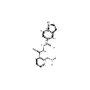 CN(C)Cc1ccccc1C(=O)CCC(=O)c1ccc2sccc2c1